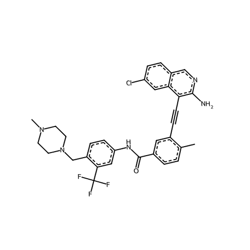 Cc1ccc(C(=O)Nc2ccc(CN3CCN(C)CC3)c(C(F)(F)F)c2)cc1C#Cc1c(N)ncc2ccc(Cl)cc12